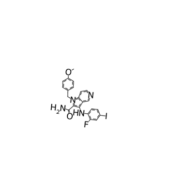 COc1ccc(Cn2c(C(N)=O)c(Nc3ccc(I)cc3F)c3cnccc32)cc1